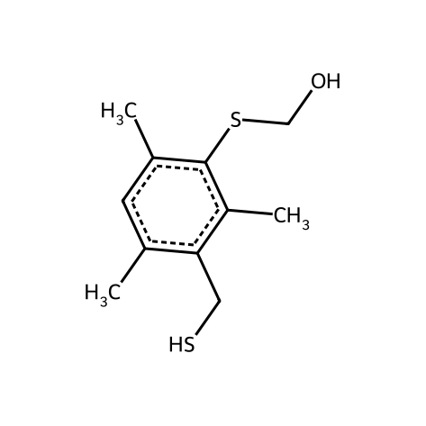 Cc1cc(C)c(SCO)c(C)c1CS